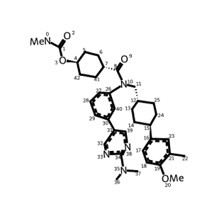 CNC(=O)O[C@H]1CC[C@H](C(=O)N(C[C@H]2CC[C@H](c3ccc(OC)c(C)c3)CC2)c2cccc(-c3cnc(N(C)C)nc3)c2)CC1